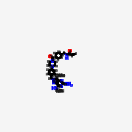 C=CC(=O)NC[C@H]1CC[C@H](C(=O)N2CCN(c3ccc(Cn4cc5nc(N)nc(NCCCC)c5n4)c(OC)c3)CC2)CC1